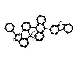 O=S1(=O)c2c(-c3c4ccccc4c(-c4ccc5c(c4)oc4ccccc45)c4ccccc34)cccc2-n2c(-c3ccccc3)nc3cccc1c32